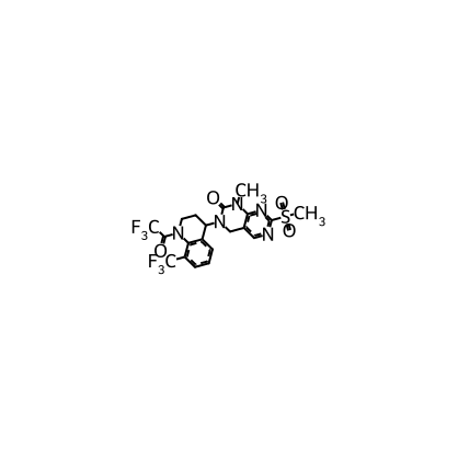 CN1C(=O)N(C2CCN(C(=O)C(F)(F)F)c3c2cccc3C(F)(F)F)Cc2cnc(S(C)(=O)=O)nc21